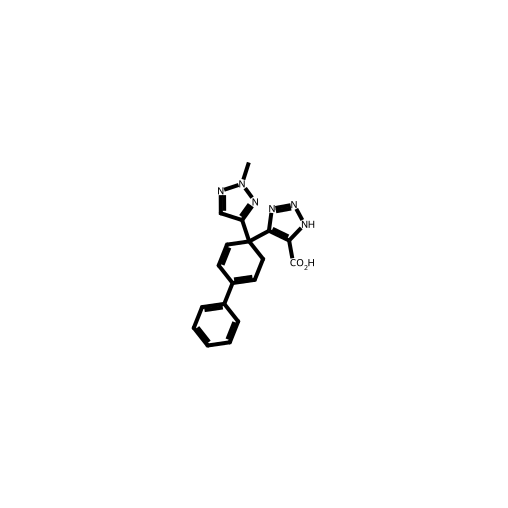 Cn1ncc(C2(c3nn[nH]c3C(=O)O)C=CC(c3ccccc3)=CC2)n1